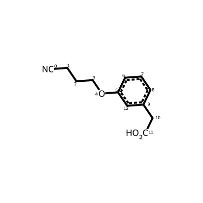 N#CCCCOc1cccc(CC(=O)O)c1